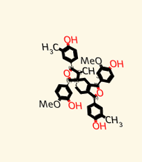 COc1ccc([C@@H]2O[C@H](c3ccc(O)c(C)c3)[C@@H](C)[C@]23CCC2=C(C3)[C@@H](c3ccc(O)c(OC)c3)O[C@H]2c2ccc(O)c(C)c2)cc1O